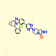 O=C1NCC2CN(c3ncc(-c4ccc5nc6n(c5c4)C(c4ccccc4Cl)COC6)cn3)CCN12